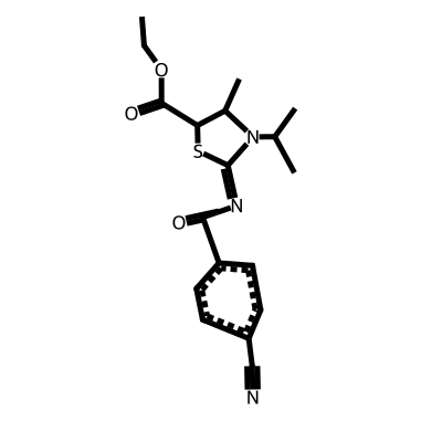 CCOC(=O)C1SC(=NC(=O)c2ccc(C#N)cc2)N(C(C)C)C1C